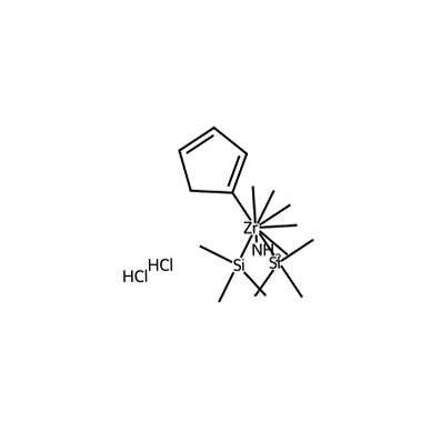 C[Si](C)(C)[Zr]([CH3])([CH3])([CH3])([CH3])([CH3])([NH2])([C]1=CC=CC1)[Si](C)(C)C.Cl.Cl